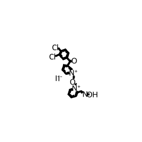 O=C(c1ccc(Cl)c(Cl)c1)c1ccc[n+](COC[n+]2ccccc2C=NO)c1.[I-].[I-]